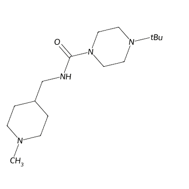 CN1CCC(CNC(=O)N2CCN(C(C)(C)C)CC2)CC1